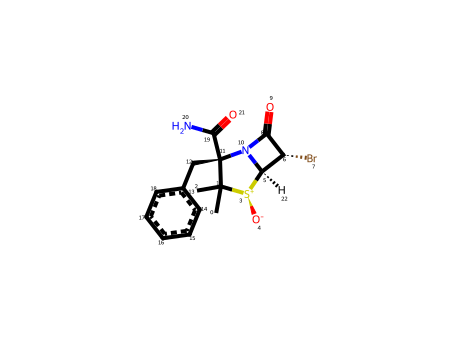 CC1(C)[S@+]([O-])[C@@H]2[C@@H](Br)C(=O)N2[C@@]1(Cc1ccccc1)C(N)=O